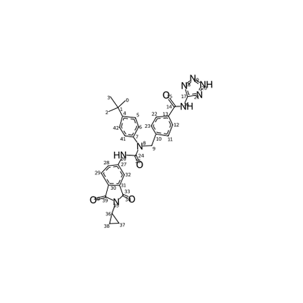 CC(C)(C)c1ccc(N(Cc2ccc(C(=O)Nc3nn[nH]n3)cc2)C(=O)Nc2ccc3c(c2)C(=O)N(C2CC2)C3=O)cc1